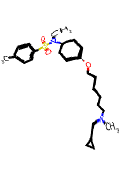 CN(CCCCCCO[C@H]1CC[C@H](N(C)S(=O)(=O)c2ccc(C(F)(F)F)cc2)CC1)CC1CC1